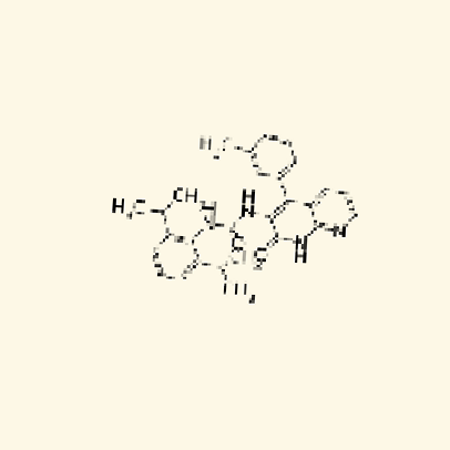 Cc1cccc(-c2c(NC(=O)Nc3c(C(C)C)cccc3C(C)C)c(=O)[nH]c3ncccc23)c1